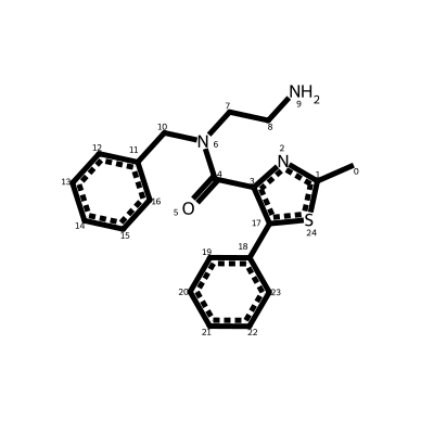 Cc1nc(C(=O)N(CCN)Cc2ccccc2)c(-c2ccccc2)s1